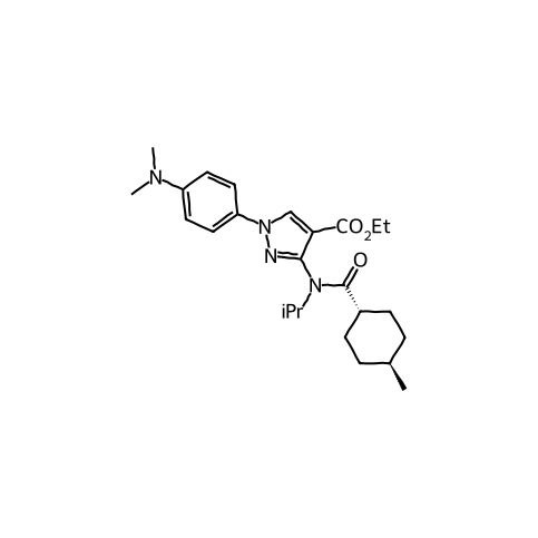 CCOC(=O)c1cn(-c2ccc(N(C)C)cc2)nc1N(C(=O)[C@H]1CC[C@H](C)CC1)C(C)C